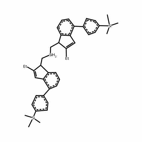 CCC1=Cc2c(-c3ccc([Si](C)(C)C)cc3)cccc2C1C[SiH2]CC1C(CC)=Cc2c(-c3ccc([Si](C)(C)C)cc3)cccc21